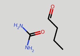 CCCC=O.NC(N)=O